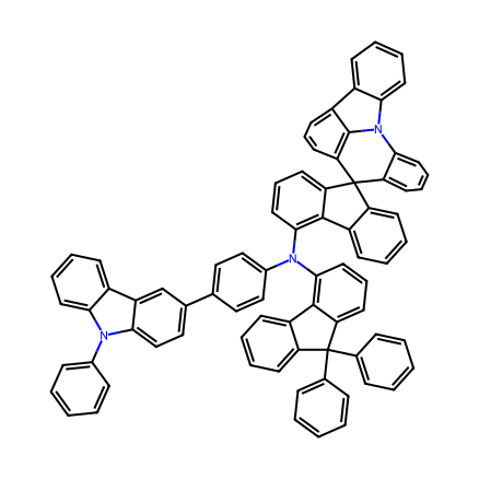 c1ccc(-n2c3ccccc3c3cc(-c4ccc(N(c5cccc6c5-c5ccccc5C6(c5ccccc5)c5ccccc5)c5cccc6c5-c5ccccc5C65c6ccccc6-n6c7ccccc7c7cccc5c76)cc4)ccc32)cc1